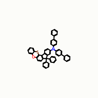 c1ccc(-c2ccc(N(c3ccc(-c4ccccc4)cc3)c3ccc4c(c3)C(c3ccccc3)(c3ccccc3)c3ccc5c(c3-4)Sc3ccccc3O5)cc2)cc1